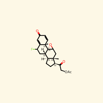 CC(=O)OCC(=O)[C@H]1CC[C@H]2[C@@H]3CC(F)C4=CC(=O)C=C[C@]4(C)[C@]34OC4C[C@]12C